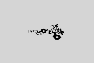 CC(C)(C)OC(=O)N1[C@@H](Cc2ccc(C(=O)O)cc2)CC[C@H]1[C@H](O[Si](C)(C)C(C)(C)C)c1ccccc1